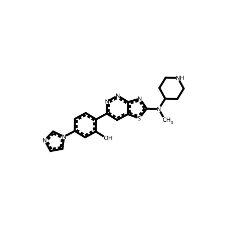 CN(c1nc2nnc(-c3ccc(-n4ccnc4)cc3O)cc2s1)C1CCNCC1